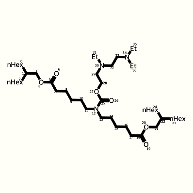 CCCCCCC(CCCCCC)COC(=O)CCCCCN(CCCCCC(=O)OCC(CCCCCC)CCCCCC)C(=O)OCCN(CC)CCN(CC)CC